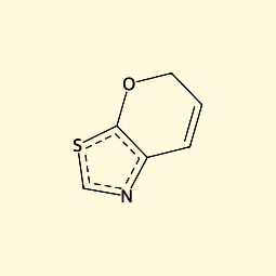 C1=Cc2ncsc2OC1